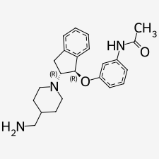 CC(=O)Nc1cccc(O[C@@H]2c3ccccc3C[C@H]2N2CCC(CN)CC2)c1